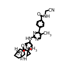 Cc1cnc(Nc2cnn(C3C[C@H]4CC[C@@H](C3)N4C(=O)C3(C)CC3)c2)nc1-c1ccc(C(=O)NCC#N)cc1